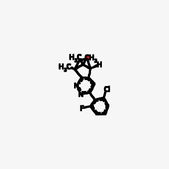 CC1(C)[C@@H]2CC[C@@]1(C)c1nnc(-c3c(F)cccc3Cl)cc12